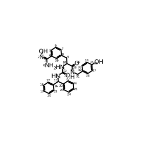 N/C(=N/O)c1cccc(CC(NC(=O)NC(c2ccccc2)c2ccccc2)C(=O)NCc2ccc(O)cc2)c1